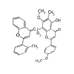 COc1ccc(-c2cc(=O)c3c(O)c(C)c(OC)c(C)c3o2)cc1.Cc1ccccc1-c1cc(=O)c2ccccc2o1